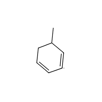 CC1C=[C]C=CC1